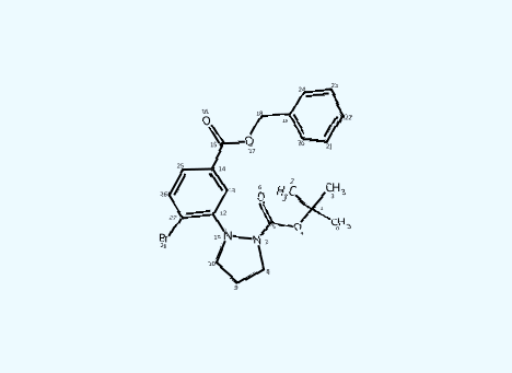 CC(C)(C)OC(=O)N1CCCN1c1cc(C(=O)OCc2ccccc2)ccc1Br